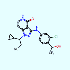 N#CCC(C1CC1)n1nc(Nc2ccc(C(O)C(F)(F)F)c(Cl)c2)c2c(=O)[nH]ccc21